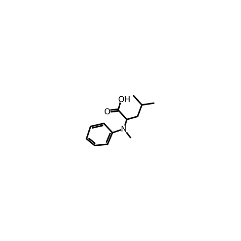 CC(C)CC(C(=O)O)N(C)c1ccccc1